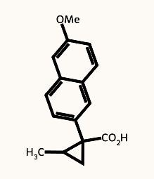 COc1ccc2cc(C3(C(=O)O)CC3C)ccc2c1